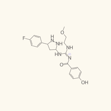 COCCN/C(=N/C(=O)c1ccc(O)cc1)NC1CC(c2ccc(F)cc2)NN1